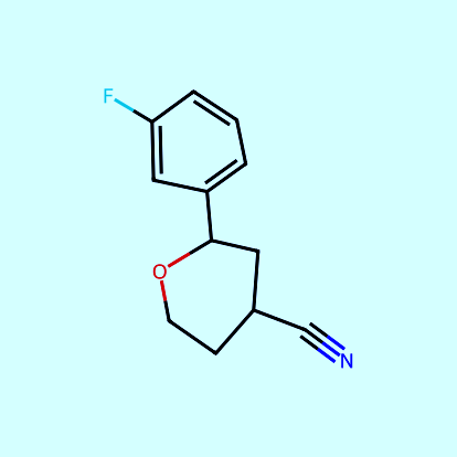 N#CC1CCOC(c2cccc(F)c2)C1